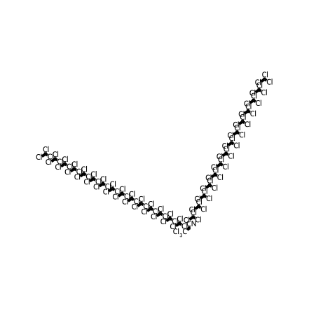 ClC(Cl)Cl.ClC(Cl)Cl.ClC(Cl)Cl.ClC(Cl)Cl.ClC(Cl)Cl.ClC(Cl)Cl.ClC(Cl)Cl.ClC(Cl)Cl.ClC(Cl)Cl.ClC(Cl)Cl.ClC(Cl)Cl.ClC(Cl)Cl.ClC(Cl)Cl.ClC(Cl)Cl.ClC(Cl)Cl.ClC(Cl)Cl.ClC(Cl)Cl.ClC(Cl)Cl.ClC(Cl)Cl.ClC(Cl)Cl.ClC(Cl)Cl.ClC(Cl)Cl.ClC(Cl)Cl.ClC(Cl)Cl.ClC(Cl)Cl.ClC(Cl)Cl.ClC(Cl)Cl.ClC(Cl)Cl.ClC(Cl)Cl.N#CCC(Cl)(Cl)Cl